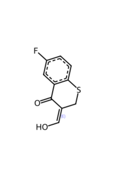 O=C1/C(=C\O)CSc2ccc(F)cc21